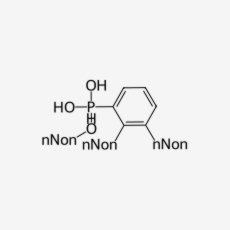 CCCCCCCCCO[PH](O)(O)c1cccc(CCCCCCCCC)c1CCCCCCCCC